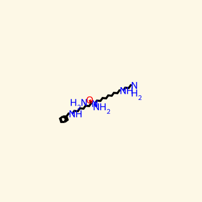 NCCCNCCCCCCCCCN(N)C(=O)C[C@H](N)CCCCNCC1CC2C=CC1C2